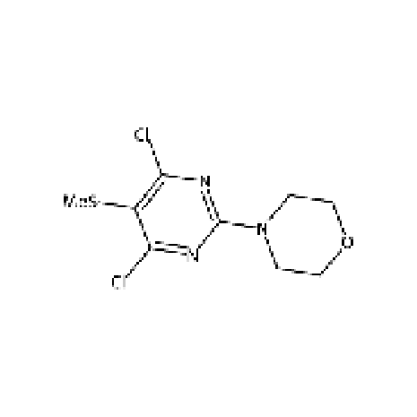 CSc1c(Cl)nc(N2CCOCC2)nc1Cl